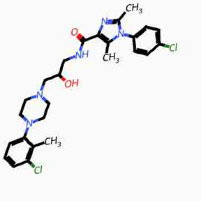 Cc1c(Cl)cccc1N1CCN(CC(O)CNC(=O)c2nc(C)n(-c3ccc(Cl)cc3)c2C)CC1